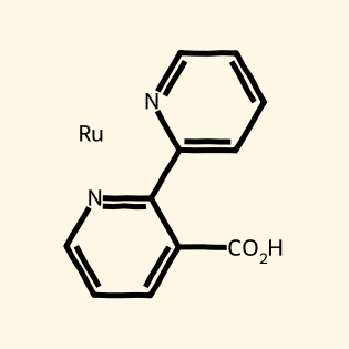 O=C(O)c1cccnc1-c1ccccn1.[Ru]